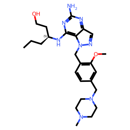 CCC[C@@H](CCO)Nc1nc(N)nc2cnn(Cc3ccc(CN4CCN(C)CC4)cc3OC)c12